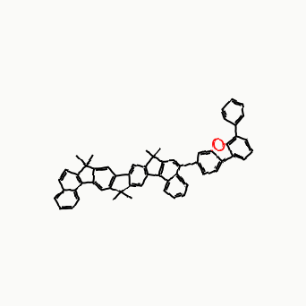 CC1(C)c2cc3c(cc2-c2cc4c(cc21)-c1c(cc(-c2ccc5c(c2)oc2c(-c6ccccc6)cccc25)c2ccccc12)C4(C)C)C(C)(C)c1ccc2ccccc2c1-3